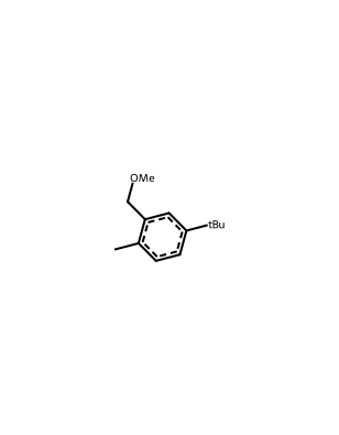 COCc1cc(C(C)(C)C)ccc1C